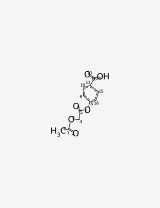 CC(=O)OCC(=O)Oc1ccc(C(=O)O)cc1